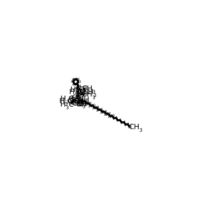 CCCCCCCCCCCCCCCCCCCCCCCCCC(=O)N[C@@H](CO)C(O[Si](C)(C)C(C)(C)C)[C@@H](COCCC1CCCCC1)O[Si](C)(C)C(C)(C)C